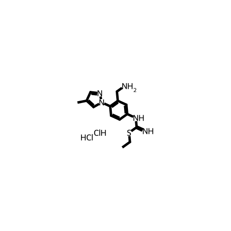 CCSC(=N)Nc1ccc(-n2cc(C)cn2)c(CN)c1.Cl.Cl